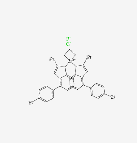 CCc1ccc(-c2cccc3c2C=C(C(C)C)[CH]3[Zr+2]2([CH]3C(C(C)C)=Cc4c(-c5ccc(CC)cc5)cccc43)[CH2]C[CH2]2)cc1.[Cl-].[Cl-]